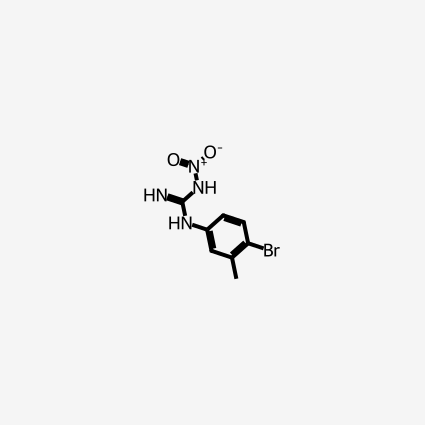 Cc1cc(NC(=N)N[N+](=O)[O-])ccc1Br